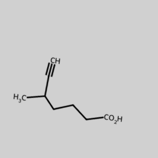 C#CC(C)CCCC(=O)O